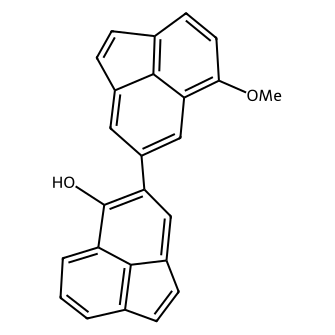 COc1ccc2c3c(cc(-c4cc5c6c(cccc6c4O)C=C5)cc13)C=C2